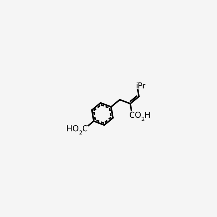 CC(C)/C=C(\Cc1ccc(C(=O)O)cc1)C(=O)O